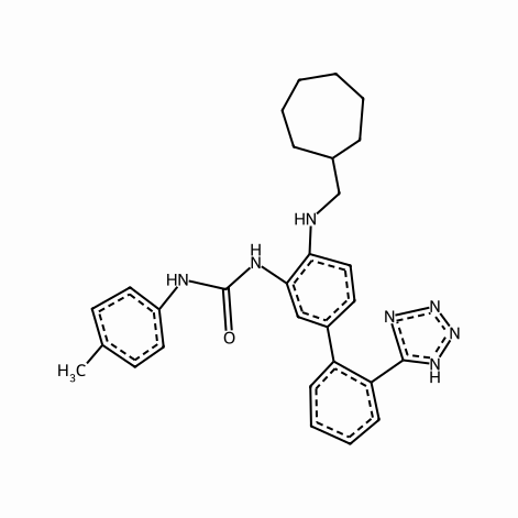 Cc1ccc(NC(=O)Nc2cc(-c3ccccc3-c3nnn[nH]3)ccc2NCC2CCCCCC2)cc1